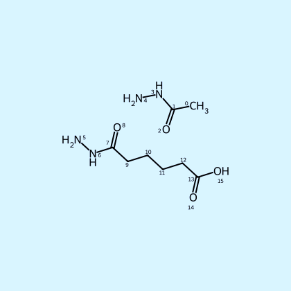 CC(=O)NN.NNC(=O)CCCCC(=O)O